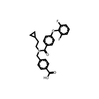 O=C(O)c1ccc(CN(CCC2CC2)C(=O)c2ccc(Oc3c(F)cccc3F)cc2)cc1